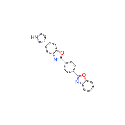 c1cc[nH]c1.c1ccc2oc(-c3ccc(-c4nc5ccccc5o4)cc3)nc2c1